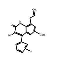 C=CCc1cc(OC)cc2c(-c3cccc(F)c3)c(C#N)c(=O)[nH]c12